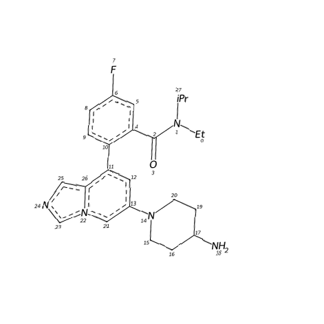 CCN(C(=O)c1cc(F)ccc1-c1cc(N2CCC(N)CC2)cn2cncc12)C(C)C